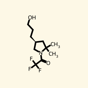 CC1(C)C[C@H](CCCO)CN1C(=O)C(F)(F)F